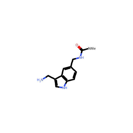 CNC(=O)NCc1ccc2[nH]cc(CN)c2c1